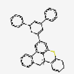 C1=CC2=C(CC1)Sc1cc(C3=CC(c4ccccc4)=CC(c4ccccc4)C3)cc3c1[C@H]2Cc1ccccc1-3